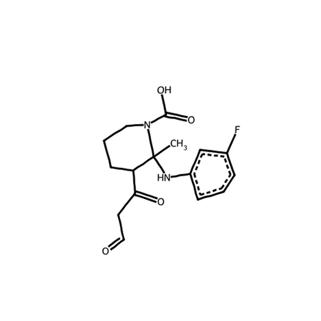 CC1(Nc2cccc(F)c2)C(C(=O)CC=O)CCCN1C(=O)O